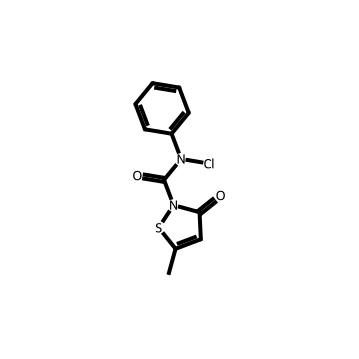 Cc1cc(=O)n(C(=O)N(Cl)c2ccccc2)s1